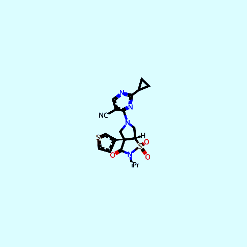 CC(C)N1C(=O)[C@]2(c3ccsc3)CN(c3nc(C4CC4)ncc3C#N)C[C@@H]2S1(=O)=O